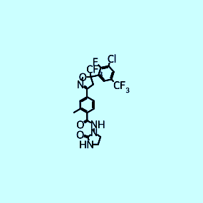 Cc1cc(C2=NOC(c3cc(C(F)(F)F)cc(Cl)c3F)(C(F)(F)F)C2)ccc1C(=O)NN1CCNC1=O